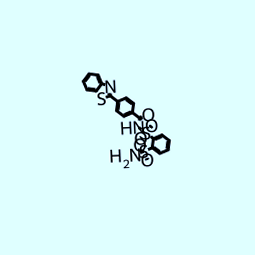 NS(=O)(=O)c1ccccc1S(=O)(=O)NC(=O)c1ccc(-c2nc3ccccc3s2)cc1